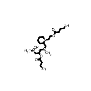 CN(C)CC(CN(C)CC1CCCCN1CCOC(=O)CCCS)OC(=O)CCS